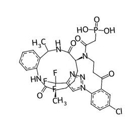 CC1NC(=O)[C@@H](N(CCC(=O)c2cc(Cl)ccc2-n2cc(C(F)(F)F)nn2)C(=O)CP(=O)(O)O)CCC[C@@H](C)C(=O)Nc2ccccc21